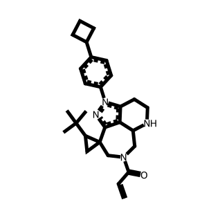 C=CC(=O)N1CC2NCCc3c2c(nn3-c2ccc(C3CCC3)cc2)C2(CC2C(C)(C)C)C1